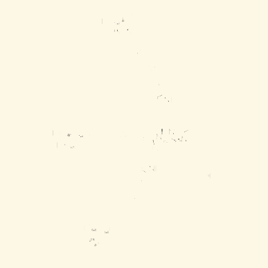 O=C(COCCOCCOCCO[C@H]1C[C@@H](O)[C@@H](O)[C@@H](CO)O1)NCCCCC(NC(=O)[C@H](CCCCNC(=O)COCCOCCOCCO[C@H]1C[C@@H](O)[C@@H](O)[C@@H](CO)O1)NC(=O)COCCOCCOCCO[C@H]1C[C@@H](O)[C@@H](O)[C@@H](CO)O1)C(=O)NCCCCCCO